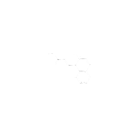 COC(=O)C=CC1c2ccccc2C=CN1C